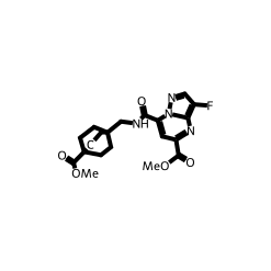 COC(=O)c1cc(C(=O)NCC23CCC(C(=O)OC)(CC2)CC3)n2ncc(F)c2n1